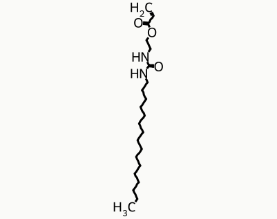 C=CC(=O)OCCNC(=O)NCCCCCCCCCCCCCCCC